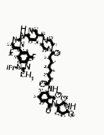 Cc1nc2c(F)cc(-c3nc(Nc4ccc(CN5CCN(C(=O)CCCCCCC(=O)Nc6cccc7c6C(=O)N(C6CCC(=O)NC6=O)C7=O)CC5)cn4)ncc3F)cc2n1C(C)C